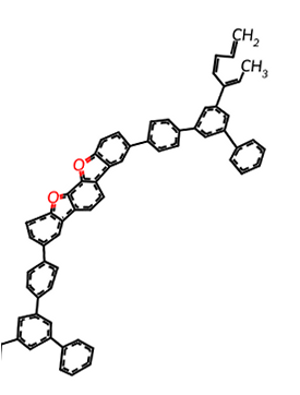 C=C/C=C\C(=C/C)c1cc(-c2ccccc2)cc(-c2ccc(-c3ccc4oc5c(ccc6c7cc(-c8ccc(-c9cc(-c%10ccccc%10)cc(-c%10ccccc%10)c9)cc8)ccc7oc65)c4c3)cc2)c1